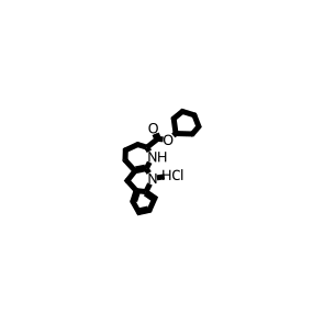 CN1C2=C(CCCC(C(=O)OC3CCCCC3)N2)Cc2ccccc21.Cl